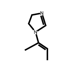 CC=C(C)N1C=NCC1